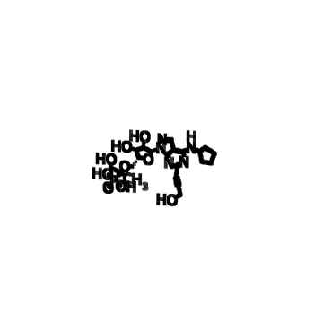 CC(CO)(OC[C@H]1O[C@H](n2ncc3c(NC4CCCC4)nc(C#CCO)nc32)[C@H](O)[C@@H]1O)P(=O)(O)O